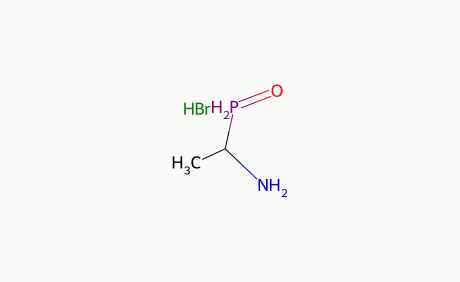 Br.CC(N)[PH2]=O